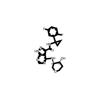 O=C(NC1(c2cc(F)ccc2F)CC1)c1n[nH]c2ncnc(N[C@@H]3COCC[C@H]3O)c12